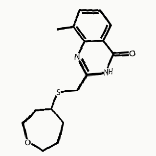 Cc1cccc2c(=O)[nH]c(CSC3CCCOCC3)nc12